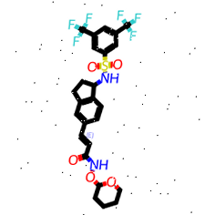 O=C(/C=C/c1ccc2c(c1)CCC2NS(=O)(=O)c1cc(C(F)(F)F)cc(C(F)(F)F)c1)NOC1CCCCO1